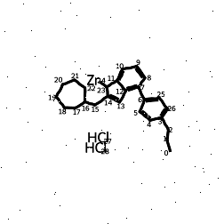 CCCc1ccc(-c2cccc3c2C=C(CC2CCCCCC2)[CH]3[Zr])cc1.Cl.Cl